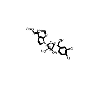 CCON=c1[nH]cnc2c1ccn2[C@@H]1O[C@H](C(O)c2ccc(Cl)c(Cl)c2)[C@@H](O)[C@H]1O